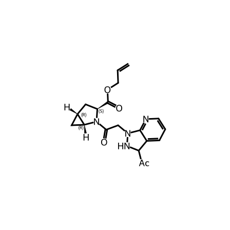 C=CCOC(=O)[C@@H]1C[C@H]2C[C@H]2N1C(=O)CN1NC(C(C)=O)c2cccnc21